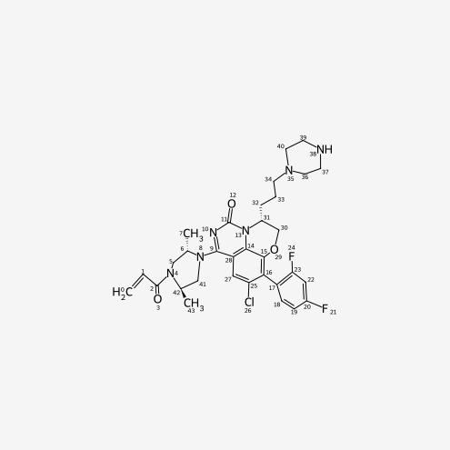 C=CC(=O)N1C[C@H](C)N(c2nc(=O)n3c4c(c(-c5ccc(F)cc5F)c(Cl)cc24)OC[C@H]3CCCN2CCNCC2)C[C@H]1C